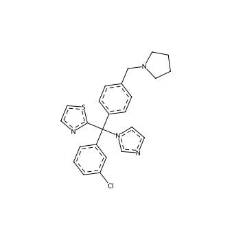 Clc1cccc(C(c2ccc(CN3CCCC3)cc2)(c2nccs2)n2ccnc2)c1